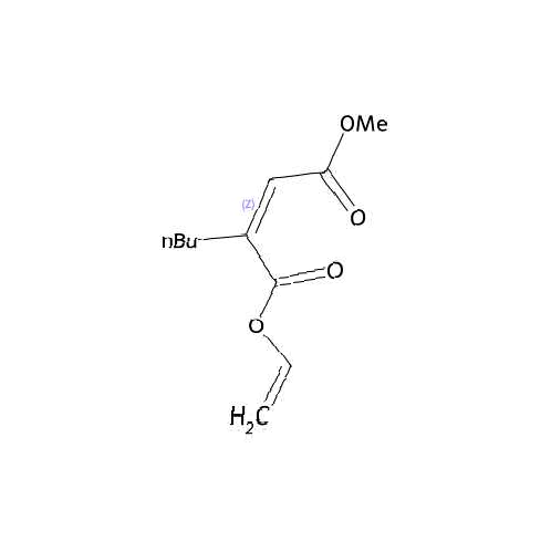 C=COC(=O)/C(=C\C(=O)OC)CCCC